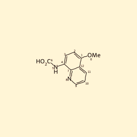 COc1ccc(NC(=O)O)c2ncccc12